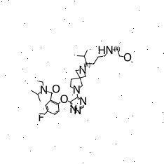 CCN(C(=O)c1cc(F)ccc1Oc1nncnc1N1CCC2(C1)CN([C@H](CCCN[C@H](C)COC)C(C)C)C2)C(C)C